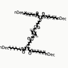 CCCCCCCCCCCCCCCCCCOC(=O)CCN(CCCCC(=O)OCCN1CC(C)N(CCOC(=O)CCCCN(CCC(=O)OCCCCCCCCCCCCCCCCCC)CCC(=O)OCCCCCCCCCCCCCCCCCC)CC1C)CCC(=O)OCCCCCCCCCCCCCCCCCC